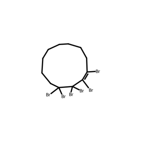 Br/C1=C(\Br)C(Br)(Br)C(Br)(Br)CCCCCCCC1